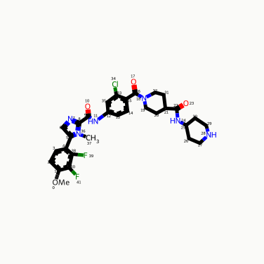 COc1ccc(-c2cnc(C(=O)Nc3ccc(C(=O)N4CCC(C(=O)NC5CCNCC5)CC4)c(Cl)c3)n2C)c(F)c1F